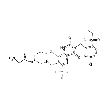 CCS(=O)(=O)c1ccc(Cl)cc1Cn1c(=O)[nH]c2c(Cl)c(CN3CCC[C@H](NC(=O)CN)C3)c(C(F)(F)F)cc2c1=O